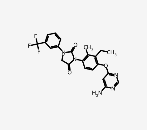 CCc1c(Oc2cc(N)ncn2)ccc(N2C(=O)CN(c3cccc(C(F)(F)F)c3)C2=O)c1C